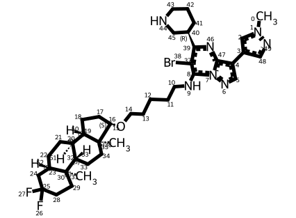 Cn1cc(-c2cnn3c(NCCCCCO[C@H]4CC[C@H]5[C@@H]6CC[C@H]7CC(F)(F)CC[C@]7(C)[C@H]6CC[C@]45C)c(Br)c([C@@H]4CCCNC4)nc23)cn1